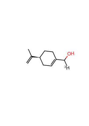 [2H]C(O)C1=CC[C@@H](C(=C)C)CC1